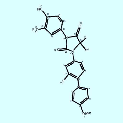 COc1ccc(-c2ccc(N3C(=S)N(c4ccc(C#N)c(C(F)(F)F)c4)C(=O)C3(C)C)cc2F)cc1